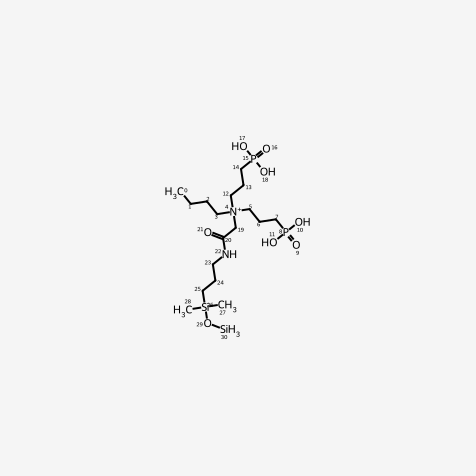 CCCC[N+](CCCP(=O)(O)O)(CCCP(=O)(O)O)CC(=O)NCCC[Si](C)(C)O[SiH3]